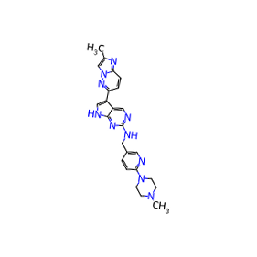 Cc1cn2nc(-c3c[nH]c4nc(NCc5ccc(N6CCN(C)CC6)nc5)ncc34)ccc2n1